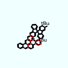 CC1C=C2C(=CC1C(C)(C)C)C1(c3cc(C(C)(C)C)ccc32)c2ccccc2-c2ccc(N(c3ccc4c(ccc5ccccc54)c3)c3ccccc3-c3ccccc3-c3ccccc3-c3ccccc3)cc21